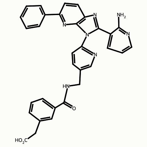 Nc1ncccc1-c1nc2ccc(-c3ccccc3)nc2n1-c1ccc(CNC(=O)c2cccc(CC(=O)O)c2)cn1